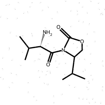 CC(C)C1COC(=O)N1C(=O)[C@@H](N)C(C)C